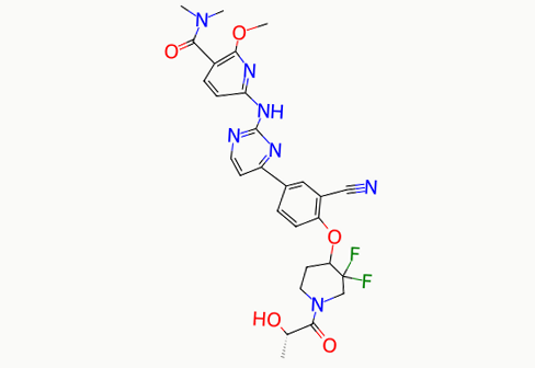 COc1nc(Nc2nccc(-c3ccc(OC4CCN(C(=O)[C@H](C)O)CC4(F)F)c(C#N)c3)n2)ccc1C(=O)N(C)C